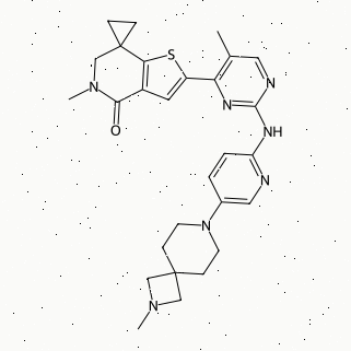 Cc1cnc(Nc2ccc(N3CCC4(CC3)CN(C)C4)cn2)nc1-c1cc2c(s1)C1(CC1)CN(C)C2=O